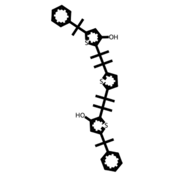 CC(C)(c1ccccc1)c1cc(O)c(C(C)(C)C(C)(C)c2ccc(C(C)(C)C(C)(C)c3sc(C(C)(C)c4ccccc4)cc3O)s2)s1